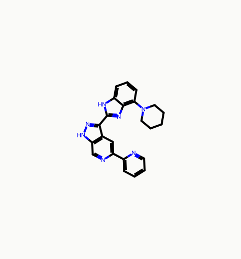 c1ccc(-c2cc3c(-c4nc5c(N6CCCCC6)cccc5[nH]4)n[nH]c3cn2)nc1